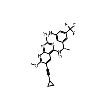 COc1nc2nc(C)nc(N[C@H](C)c3cc(N)cc(C(F)(F)F)c3)c2cc1C#CC1CC1